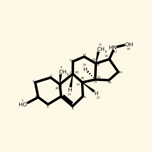 C[C@]12CCC(O)CC1=CC[C@@H]1[C@H]2CC[C@]2(C)C(NO)CC[C@@H]12